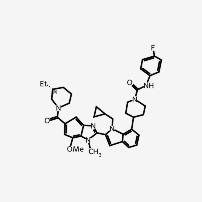 CC[C@@H]1CCCN(C(=O)c2cc(OC)c3c(c2)nc(-c2cc4cccc(C5CCN(C(=O)Nc6ccc(F)cc6)CC5)c4n2CC2CC2)n3C)C1